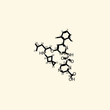 Cc1cccc(C)c1-c1cc(OCC(CC(C)C)NC2CC3(CC3)C2)nc(NS(=O)(=O)c2cncc(C(=O)O)n2)n1